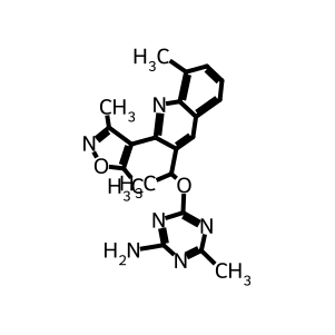 Cc1nc(N)nc(OC(C)c2cc3cccc(C)c3nc2-c2c(C)noc2C)n1